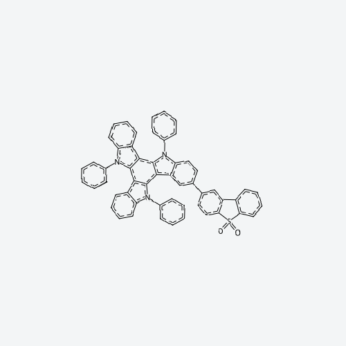 O=S1(=O)c2ccccc2-c2cc(-c3ccc4c(c3)c3c5c(c6ccccc6n5-c5ccccc5)c5c(c6ccccc6n5-c5ccccc5)c3n4-c3ccccc3)ccc21